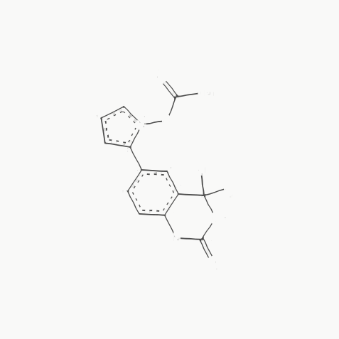 CC(C)(C)C(=O)On1cccc1-c1ccc2c(c1)C(C)(C)OC(=O)N2